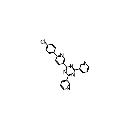 Clc1ccc(-c2ccc(-c3nc(-c4cccnc4)nc(-c4cccnc4)n3)cn2)cc1